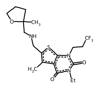 CCn1c(=O)c2c(C)c(CNCC3(C)CCCO3)sc2n(CCC(F)(F)F)c1=O